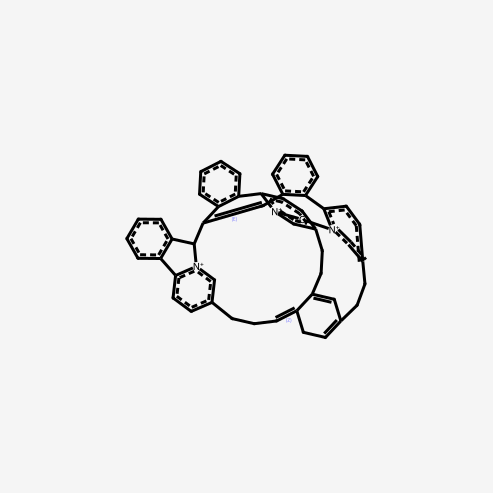 C1=C2C=C3CCc4ccc5[n+](c4)C[n+]4cc(ccc4-c4ccccc4/C=C(\c4ccccc4-5)C4c5ccccc5-c5ccc(c[n+]54)CC/C=C\3C1)CC2